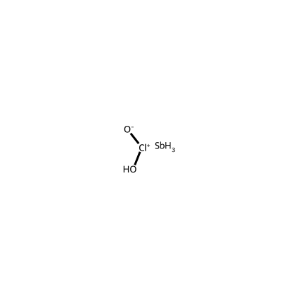 [O-][Cl+]O.[SbH3]